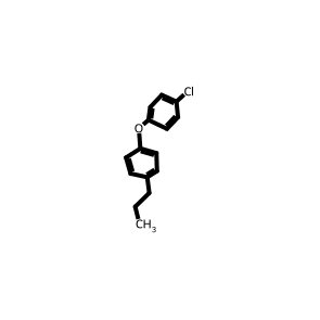 CCCc1ccc(Oc2ccc(Cl)cc2)cc1